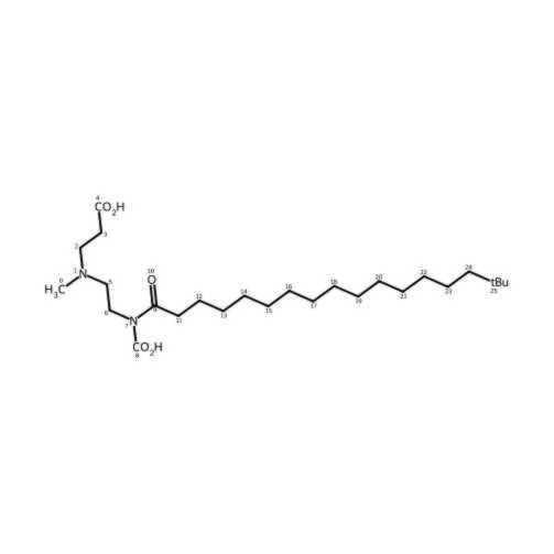 CN(CCC(=O)O)CCN(C(=O)O)C(=O)CCCCCCCCCCCCCCC(C)(C)C